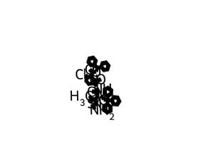 Cc1sc(N)nc1C(=NOC(c1ccccc1)(c1ccccc1)c1ccccc1)C(=O)N[C@H]1C(=O)N2C(C(=O)OC(c3ccccc3)c3ccccc3)=C(Cl)CCC12